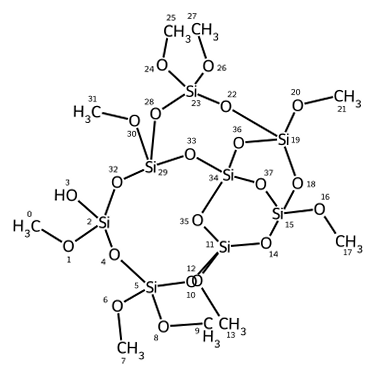 CO[Si]1(O)O[Si](OC)(OC)O[Si]2(OC)O[Si]3(OC)O[Si]4(OC)O[Si](OC)(OC)O[Si](OC)(O1)O[Si](O2)(O4)O3